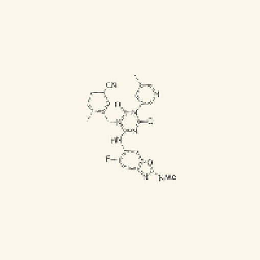 CNc1nc2cc(F)c(Nc3nc(=O)n(-c4cncc(C)c4)c(=O)n3Cc3cc(C#N)ccc3C)cc2o1